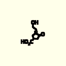 O=C(O)C1CC(=O)N(CCO)C1